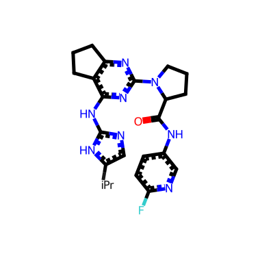 CC(C)c1cnc(Nc2nc(N3CCCC3C(=O)Nc3ccc(F)nc3)nc3c2CCC3)[nH]1